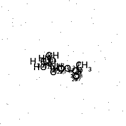 Cc1cc(COc2ccc(C(=O)NCC(C(=O)NO)C(C)O)cc2)c2ccccc2n1